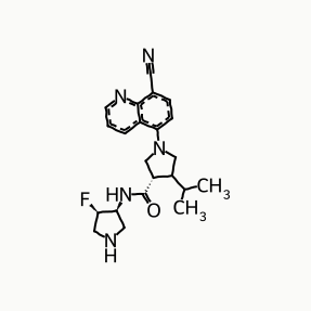 CC(C)C1CN(c2ccc(C#N)c3ncccc23)C[C@H]1C(=O)N[C@H]1CNC[C@H]1F